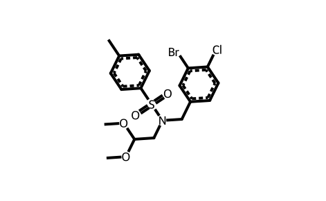 COC(CN(Cc1ccc(Cl)c(Br)c1)S(=O)(=O)c1ccc(C)cc1)OC